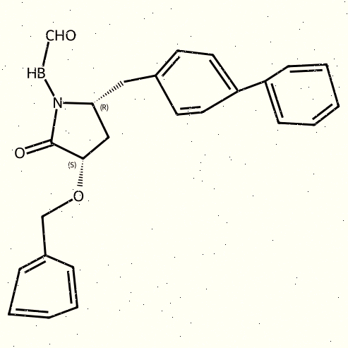 O=CBN1C(=O)[C@@H](OCc2ccccc2)C[C@H]1Cc1ccc(-c2ccccc2)cc1